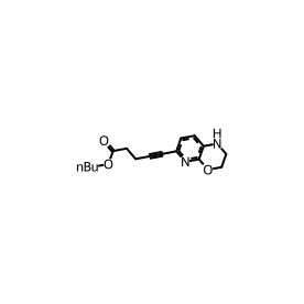 CCCCOC(=O)CCC#Cc1ccc2c(n1)OCCN2